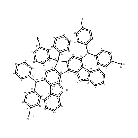 Cc1ccc(N(c2ccc(C(C)(C)C)cc2)c2cc3c(c4sc5ccccc5c24)-c2c(cc(N(c4ccccc4)c4ccc(C(C)(C)C)cc4)c4c2oc2ccccc24)C3(c2ccccc2)c2cccc(F)c2)nc1